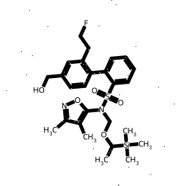 Cc1noc(N(COC(C)[Si](C)(C)C)S(=O)(=O)c2ccccc2-c2ccc(CO)cc2CCF)c1C